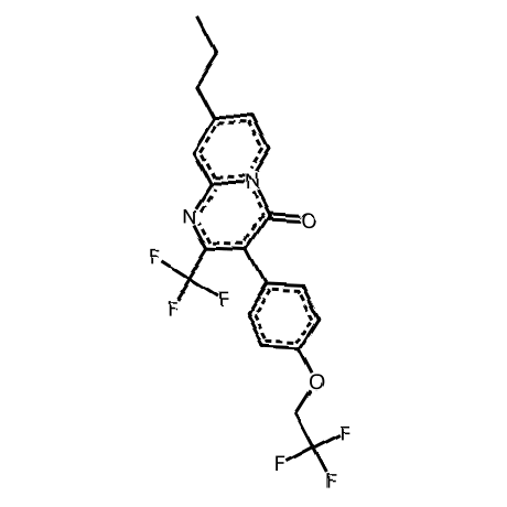 CCCc1ccn2c(=O)c(-c3ccc(OCC(F)(F)F)cc3)c(C(F)(F)F)nc2c1